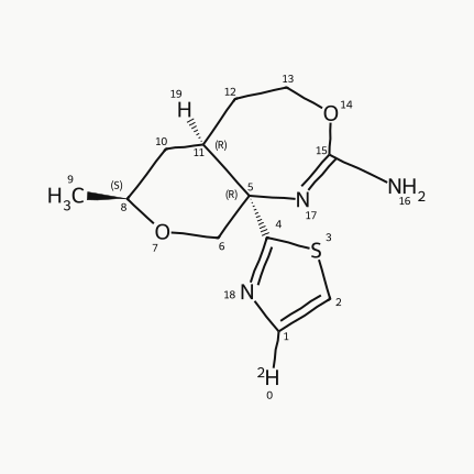 [2H]c1csc([C@]23CO[C@@H](C)C[C@H]2CCOC(N)=N3)n1